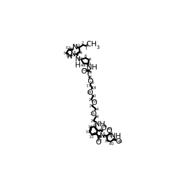 CCCc1cc(N[C@@H]2CCC(NC(=O)CCOCCOCCOCCOCCNc3cccc4c3C(=O)N(C3CCC(=O)NC3=O)C4=O)C2)n2nccc2n1